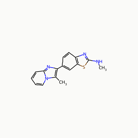 CNc1nc2ccc(-c3nc4ccccn4c3C)cc2s1